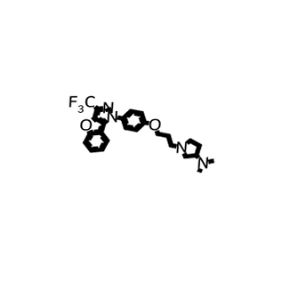 CN(C)C1CCN(CCCOc2ccc(-n3nc(C(F)(F)F)c4oc5ccccc5c43)cc2)C1